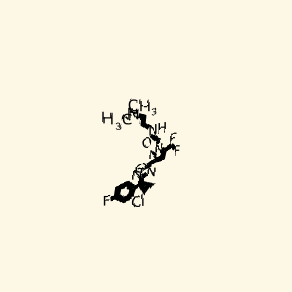 CN(C)CCNC(=O)Cn1nc(-c2nc(C3(c4ccc(F)cc4Cl)CC3)no2)cc1C(F)F